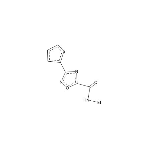 CCNC(=O)c1nc(-c2cccs2)no1